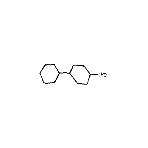 O=CC1CCC(C2CCCCC2)CC1